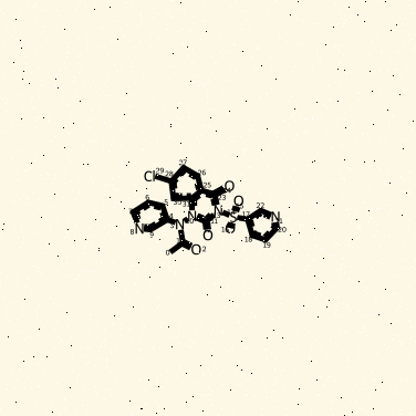 CC(=O)N(c1cccnc1)n1c(=O)n(S(=O)(=O)c2cccnc2)c(=O)c2ccc(Cl)cc21